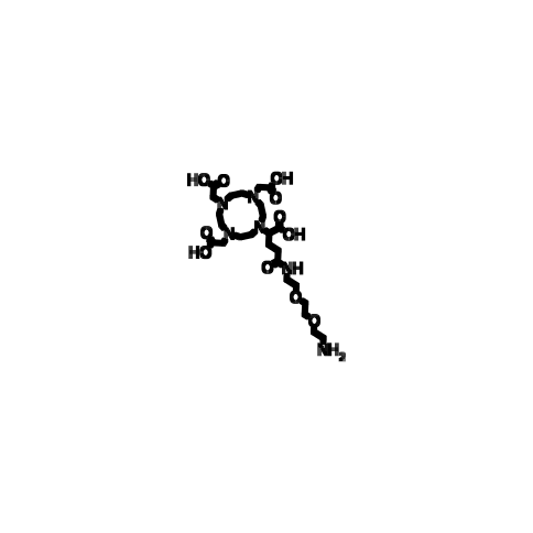 NCCOCCOCCNC(=O)CCC(C(=O)O)N1CCN(CC(=O)O)CCN(CC(=O)O)CCN(CC(=O)O)CC1